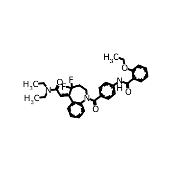 CCOc1ccccc1C(=O)Nc1ccc(C(=O)N2CCC(F)(F)C(=CC(=O)N(CC)CC)c3ccccc32)cc1